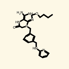 CCCCOC1N=C2C(=C(N)N1)NC(=O)CN2Cc1cccc(CNc2ccccn2)c1